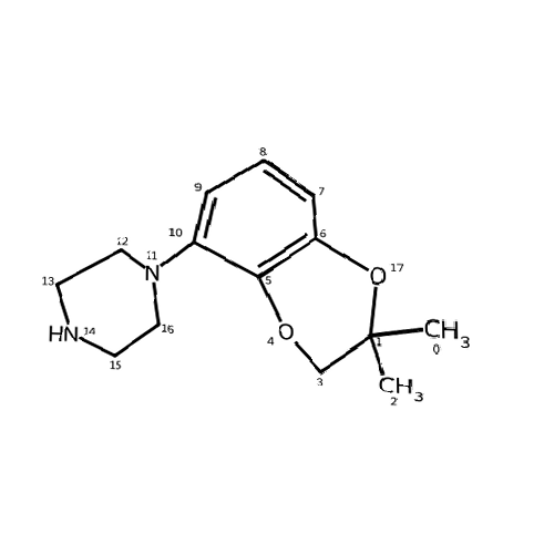 CC1(C)COc2c(cccc2N2CCNCC2)O1